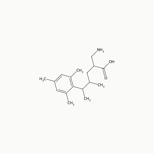 Cc1cc(C)c(C(C)C(C)CC(CN)C(=O)O)c(C)c1